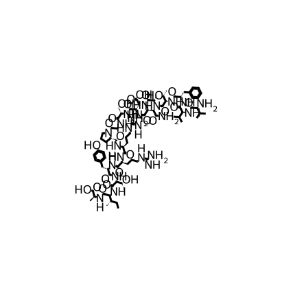 CC[C@H](C)[C@H](NC(=O)[C@@H](NC(=O)[C@H](Cc1ccc(O)cc1)NC(=O)[C@H](CCCNC(=N)N)NC(=O)[C@H](CCCNC(=N)N)NC(=O)[C@@H]1CCCN1C(=O)CNC(=O)[C@H](CO)NC(=O)[C@H](CC(=O)O)NC(=O)[C@H](CC(N)=O)NC(=O)[C@H](C)NC(=O)[C@@H](NC(=O)[C@H](Cc1ccccc1)NC(=O)[C@@H](NC(=O)[C@@H](N)C(C)C)C(C)C)[C@@H](C)O)[C@@H](C)O)C(=O)N[C@@H](C)C(=O)O